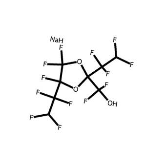 OC(F)(F)C1(C(F)(F)C(F)F)OC(F)(F)C(F)(C(F)(F)C(F)F)O1.[NaH]